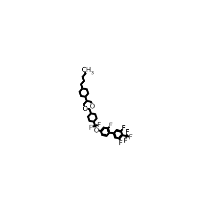 CCCCCC1CCC(C2COC(C3CCC(C(F)(F)Oc4ccc(-c5cc(F)c(C(F)(F)F)c(F)c5)c(F)c4)CC3)OC2)CC1